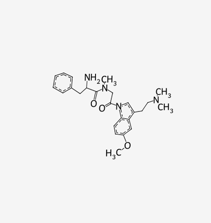 COc1ccc2c(c1)c(CCN(C)C)cn2C(=O)CN(C)C(=O)C(N)Cc1ccccc1